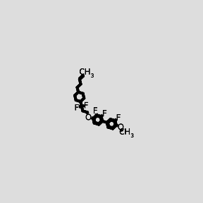 C/C=C/CCC1CCC(C(F)(F)CCOc2ccc(-c3ccc(OC)c(F)c3)c(F)c2F)CC1